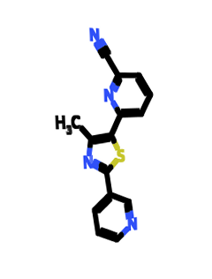 Cc1nc(-c2cccnc2)sc1-c1cccc(C#N)n1